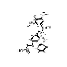 COc1cc(C(O)[C@H](CCCc2ccccc2)Cc2ccc(CCC(=O)O)cc2)cc(OC)c1C